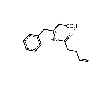 C=CCCC(=O)N[C@H](CC(=O)O)Cc1ccccc1